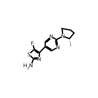 C[C@H]1CCCN1c1ncc(-c2nc(N)sc2F)cn1